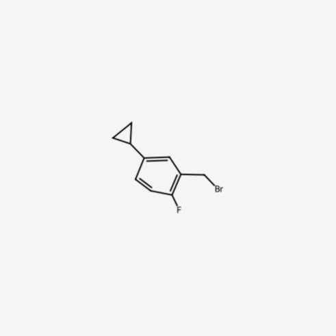 Fc1ccc(C2CC2)cc1CBr